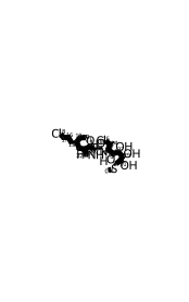 CSC1O[C@H]([C@H](NC(=O)[C@H]2NC[C@@H]3C[C@H](CCCCl)CCO[C@H]32)[C@H](C)Cl)C(O)C(O)[C@H]1O